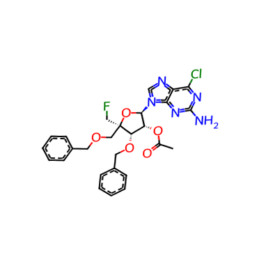 CC(=O)O[C@H]1[C@H](n2cnc3c(Cl)nc(N)nc32)O[C@](CF)(COCc2ccccc2)[C@H]1OCc1ccccc1